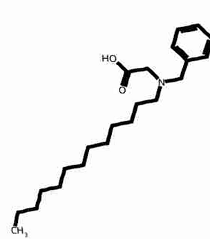 CCCCCCCCCCCCCN(CC(=O)O)Cc1ccccc1